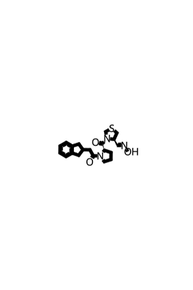 O=C([C@@H]1CCCN1C(=O)CC1Cc2ccccc2C1)N1CSC[C@H]1C=NO